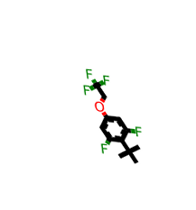 CC(C)(C)c1c(F)cc(OCC(F)(F)F)cc1F